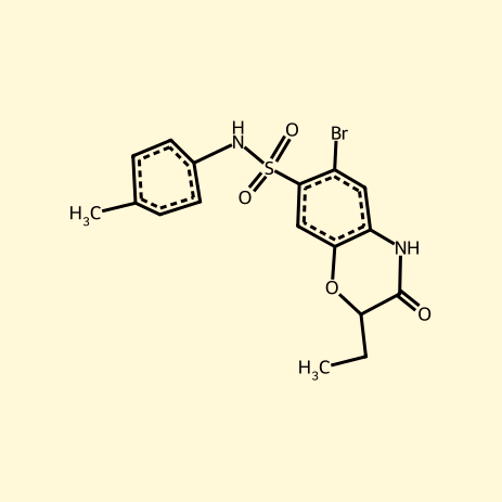 CCC1Oc2cc(S(=O)(=O)Nc3ccc(C)cc3)c(Br)cc2NC1=O